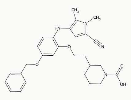 Cc1c(Nc2ccc(OCc3ccccc3)cc2OCCC2CCCN(C(=O)O)C2)cc(C#N)n1C